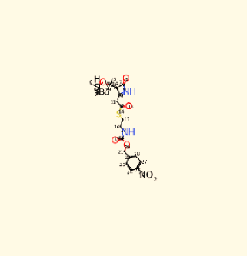 C[SiH](C)O[C@](C)([C@H]1C(=O)N[C@@H]1CC(=O)SCCNC(=O)OCc1ccc([N+](=O)[O-])cc1)C(C)(C)C